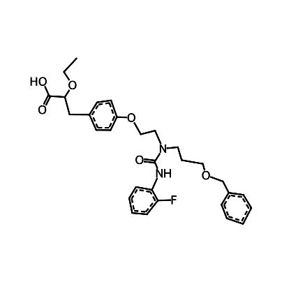 CCOC(Cc1ccc(OCCN(CCCOCc2ccccc2)C(=O)Nc2ccccc2F)cc1)C(=O)O